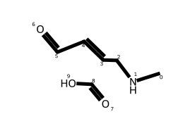 CNCC=CC=O.O=CO